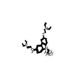 CCN(CC)CCSc1ccc2c(c1)c1cc(SCCN(CC)CC)ccc1n2CC.Cl.Cl